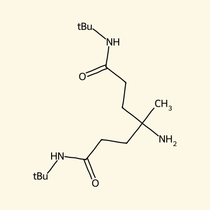 CC(N)(CCC(=O)NC(C)(C)C)CCC(=O)NC(C)(C)C